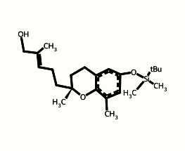 C/C(=C\CC[C@]1(C)CCc2cc(O[Si](C)(C)C(C)(C)C)cc(C)c2O1)CO